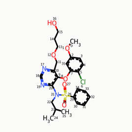 COc1ccc(Cl)c(Oc2c(COCCCO)ncnc2N(CC(C)C)S(=O)(=O)c2ccccc2)c1